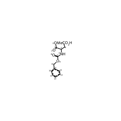 COC(=O)C(CC(=O)O)NC(=O)OCc1ccccc1